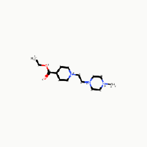 CCOC(=O)C1CCN(CCN2CCN(C)CC2)CC1